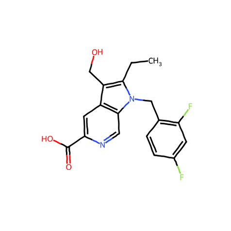 CCc1c(CO)c2cc(C(=O)O)ncc2n1Cc1ccc(F)cc1F